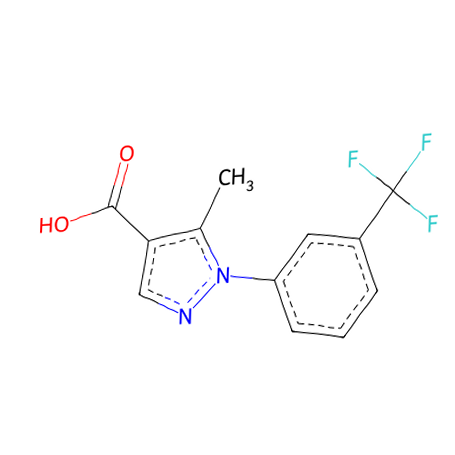 Cc1c(C(=O)O)cnn1-c1cccc(C(F)(F)F)c1